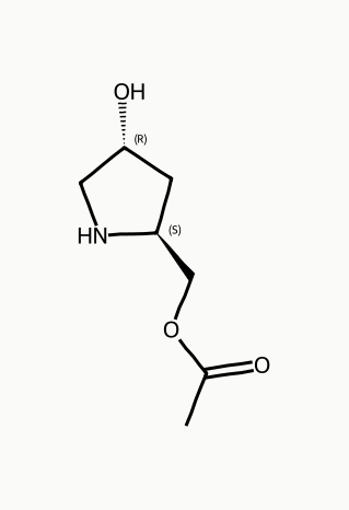 CC(=O)OC[C@@H]1C[C@@H](O)CN1